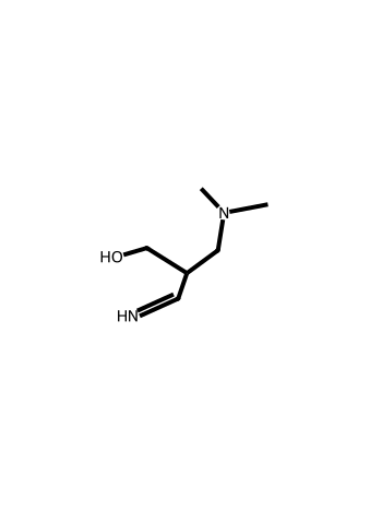 CN(C)CC(C=N)CO